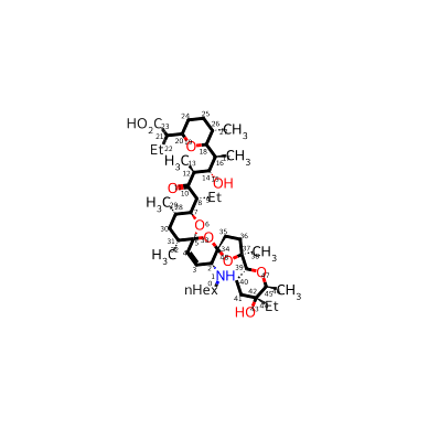 CCCCCCN[C@@H]1C=C[C@]2(O[C@H]([C@@H](CC)C(=O)[C@@H](C)[C@@H](O)[C@H](C)C3OC(C(CC)C(=O)O)CC[C@@H]3C)[C@@H](C)C[C@H]2C)O[C@@]12CC[C@@](C)([C@H]1CC[C@](O)(CC)[C@H](C)O1)O2